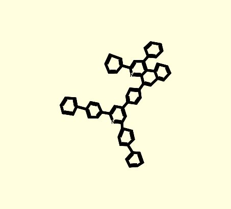 c1ccc(-c2ccc(-c3cc(-c4ccc(-c5cc6ccccc6c6c(-c7ccccc7)cc(-c7ccccc7)nc56)cc4)cc(-c4ccc(-c5ccccc5)cc4)n3)cc2)cc1